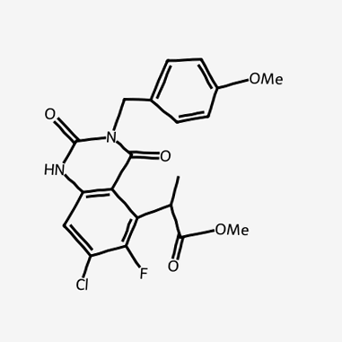 COC(=O)C(C)c1c(F)c(Cl)cc2[nH]c(=O)n(Cc3ccc(OC)cc3)c(=O)c12